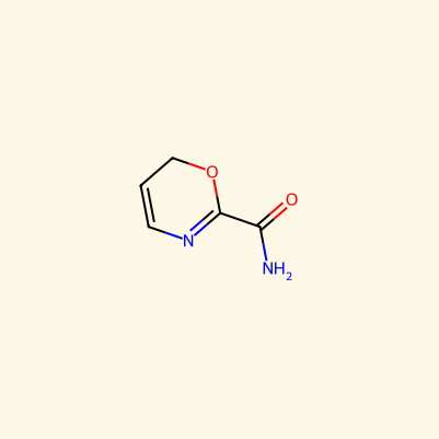 NC(=O)C1=NC=CCO1